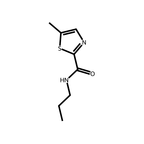 CCCNC(=O)c1ncc(C)s1